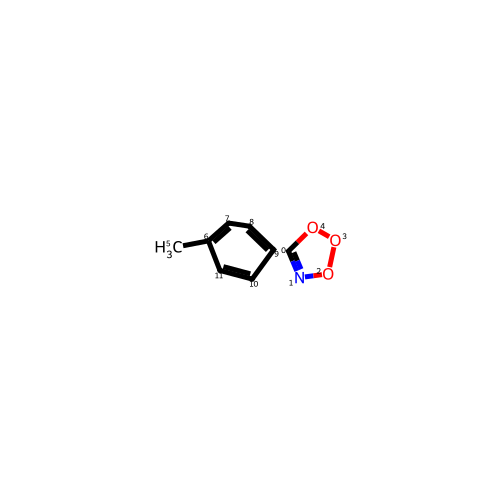 C1=NOOO1.Cc1ccccc1